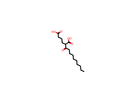 CCCCCCCCCC(=O)C(CCCC(=O)O)C(=O)O